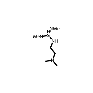 CN[SiH](NC)NCCN(C)C